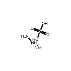 NN.O=S(=O)(O)O.[NaH]